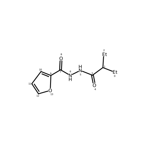 CCC(CC)C(=O)NNC(=O)c1ccco1